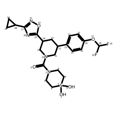 O=C(N1CCS(O)(O)CC1)N1CC(c2ccc(OC(F)F)cc2)CC(c2nc(C3CC3)no2)C1